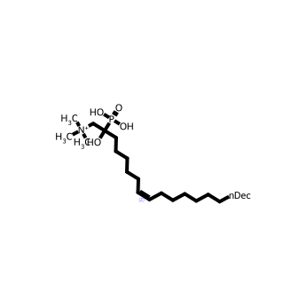 CCCCCCCCCCCCCCCC/C=C\CCCCCC(O)(C[N+](C)(C)C)P(=O)(O)O